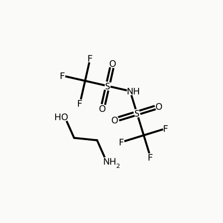 NCCO.O=S(=O)(NS(=O)(=O)C(F)(F)F)C(F)(F)F